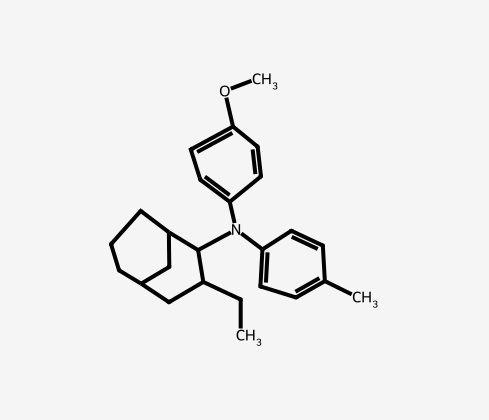 CCC1CC2CCCC(C2)C1N(c1ccc(C)cc1)c1ccc(OC)cc1